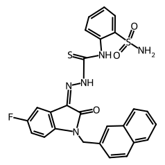 NS(=O)(=O)c1ccccc1NC(=S)NN=C1C(=O)N(Cc2ccc3ccccc3c2)c2ccc(F)cc21